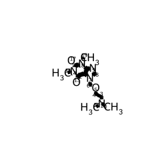 CN(C)CCOCn1cnc2c1c(=O)n(C)c(=O)n2C